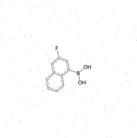 OB(O)c1cc(F)cc2ccccc12